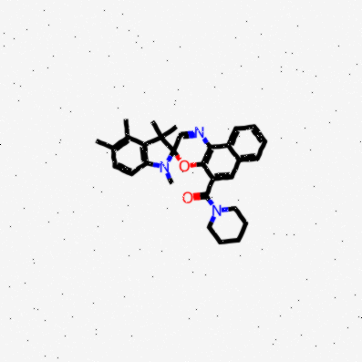 Cc1ccc2c(c1C)C(C)(C)C1(C=Nc3c(c(C(=O)N4CCCCC4)cc4ccccc34)O1)N2C